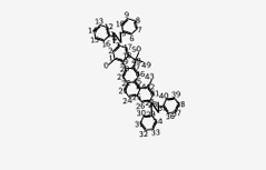 Cc1cc(N(c2ccccc2)c2ccccc2)cc2c1-c1cc3ccc4cc(N(c5ccccc5)c5ccccc5)cc(C)c4c3cc1C2(C)C